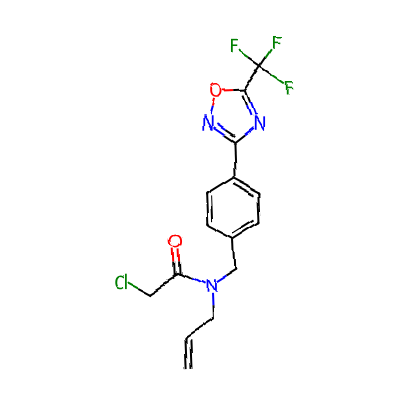 C=CCN(Cc1ccc(-c2noc(C(F)(F)F)n2)cc1)C(=O)CCl